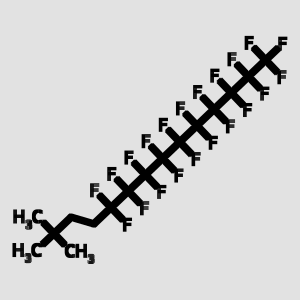 CC(C)(C)CCC(F)(F)C(F)(F)C(F)(F)C(F)(F)C(F)(F)C(F)(F)C(F)(F)C(F)(F)C(F)(F)C(F)(F)F